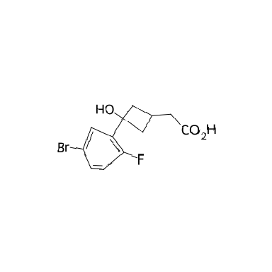 O=C(O)CC1CC(O)(c2cc(Br)ccc2F)C1